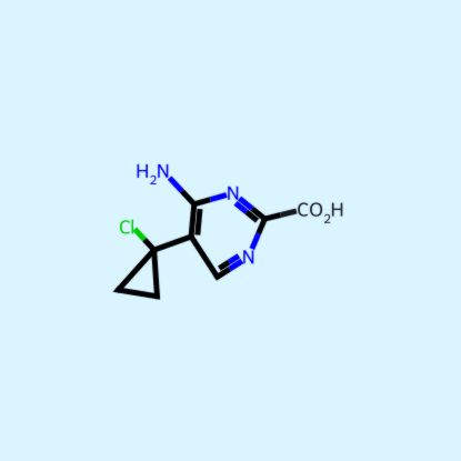 Nc1nc(C(=O)O)ncc1C1(Cl)CC1